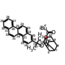 CCC(C)C(=O)OC1C2CC3CC1CC(C2)C3OC(C)(C)c1ccc2c(ccc3c4ccccc4ccc23)c1